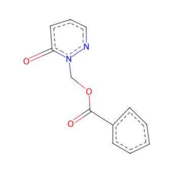 O=C(OCn1ncccc1=O)c1ccccc1